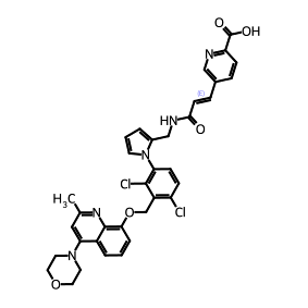 Cc1cc(N2CCOCC2)c2cccc(OCc3c(Cl)ccc(-n4cccc4CNC(=O)/C=C/c4ccc(C(=O)O)nc4)c3Cl)c2n1